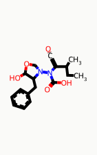 CCC(C)C(=C=O)N(C(=O)O)N1COC(O)C1Cc1ccccc1